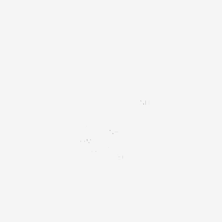 CCC(=O)NC(Cc1c[nH]c2ccccc12)C(=O)OC